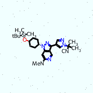 CNc1cc2c(cn1)c(-c1cnn(C(C)(C)C#N)c1)nn2[C@H]1CC[C@H](O[Si](C)(C)C(C)(C)C)CC1